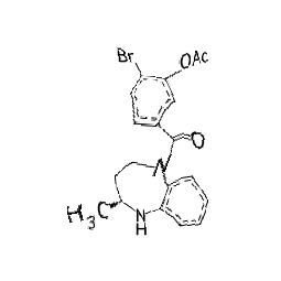 CC(=O)Oc1cc(C(=O)N2CC[C@H](C)Nc3ccccc32)ccc1Br